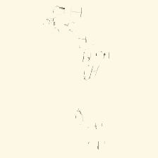 C=CC(=O)OCCCCC(CCOP(=O)([O-])O)[N+](C)(C)C